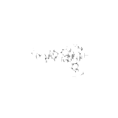 C[C@H]1CN(c2cc(F)c(-c3cnc(N(I)CC4OC5CCC54)nc3)c(F)c2NC(=O)c2c[nH]c(=O)cc2C(F)F)CCN1C